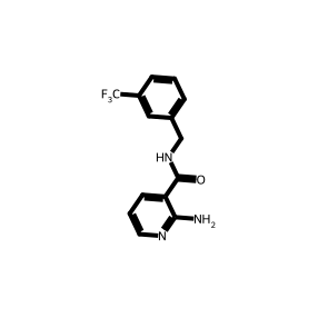 Nc1ncccc1C(=O)NCc1cccc(C(F)(F)F)c1